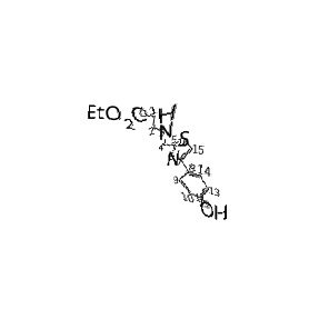 CCOC(=O)CCNCc1nc(-c2ccc(O)cc2)cs1